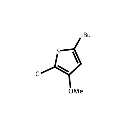 COc1cc(C(C)(C)C)sc1Cl